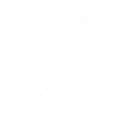 C/C(=N/O)NC(=O)c1ccc2c(-c3nc(N[C@H]4CCCNC4)ncc3C(F)(F)F)c[nH]c2c1